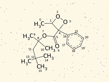 CC1OOC1(C(=O)OC(C)(C)CC(C)(C)C)c1ccccc1